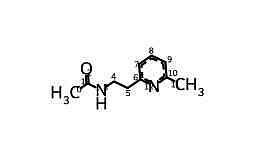 CC(=O)NCCc1cccc(C)n1